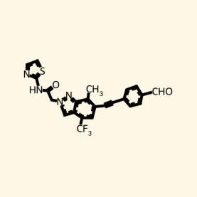 Cc1c(C#Cc2ccc(C=O)cc2)cc(C(F)(F)F)c2cn(CC(=O)Nc3nccs3)nc12